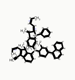 C#CC1=C(/C=C\C)C(C)(C)c2c1cccc2N(c1ccc2c(=C)/c(=C\C=C/C)n(-c3ccccc3)c2c1)C1C=CC(c2cccc3ccccc23)=CC1C